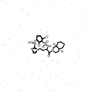 O=C(C(CCn1ccnc1NO)NS(=O)(=O)c1c(Cl)cccc1Cl)N1CC[C@@H]2CCCC[C@H]2C1